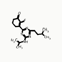 CC(C)CCc1nc(NC(C)C)nc(C2=C(F)C(=O)CCC2)n1